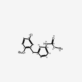 CC(C)COc1ccc(Cl)cc1Cc1cccc(NC(=O)OC(C)(C)C)n1